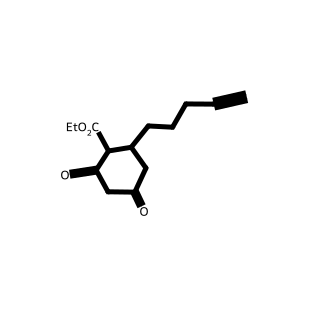 C#CCCCC1CC(=O)CC(=O)C1C(=O)OCC